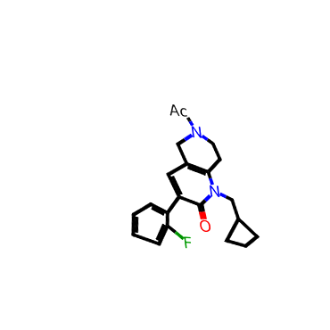 CC(=O)N1CCc2c(cc(-c3ccccc3F)c(=O)n2CC2CCC2)C1